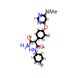 CNc1cc(Oc2ccc(C(C(N)=O)C(=O)Nc3ccc(F)cc3)cc2F)ncn1